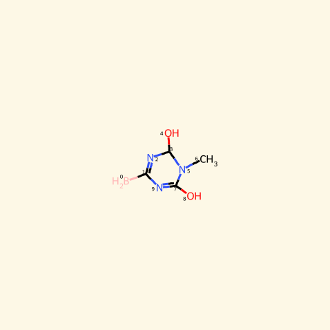 BC1=NC(O)N(C)C(O)=N1